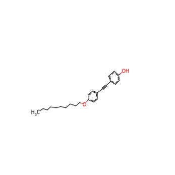 CCCCCCCCCCOc1ccc(C#Cc2ccc(O)cc2)cc1